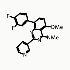 CNc1nc(-c2cccnc2)nc2c(-c3ccc(F)c(F)c3)ccc(OC)c12